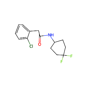 O=C(Cc1ccccc1Cl)NC1CCC(F)(F)CC1